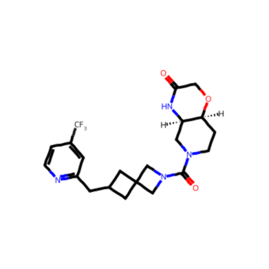 O=C1CO[C@H]2CCN(C(=O)N3CC4(CC(Cc5cc(C(F)(F)F)ccn5)C4)C3)C[C@H]2N1